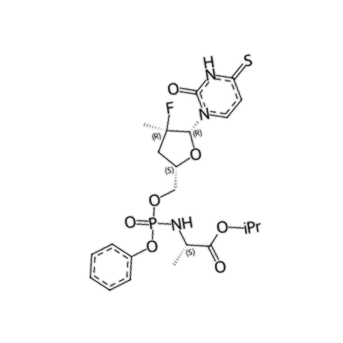 CC(C)OC(=O)[C@H](C)NP(=O)(OC[C@@H]1C[C@@](C)(F)[C@H](n2ccc(=S)[nH]c2=O)O1)Oc1ccccc1